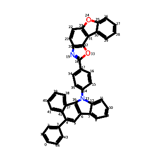 c1ccc(-c2cc3c4ccccc4n(-c4ccc(-c5nc6ccc7oc8ccccc8c7c6o5)cc4)c3c3ccccc23)cc1